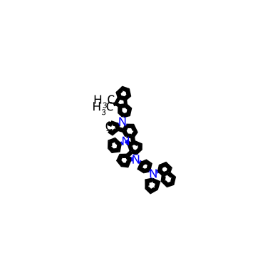 CC1(C)c2ccccc2-c2ccc(-n3c4ccccc4c4c3ccc3c5ccc6c(c7ccccc7n6-c6ccc(N(c7ccccc7)c7cccc8ccccc78)cc6)c5n(-c5ccccc5)c34)cc21